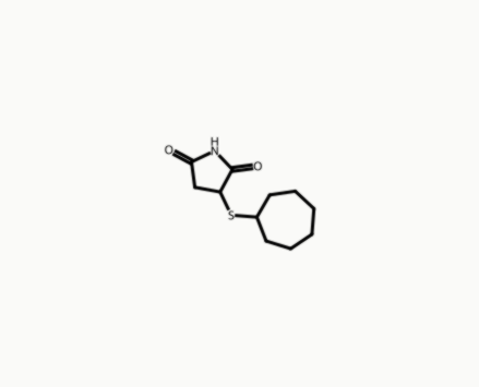 O=C1CC(SC2CCCCCC2)C(=O)N1